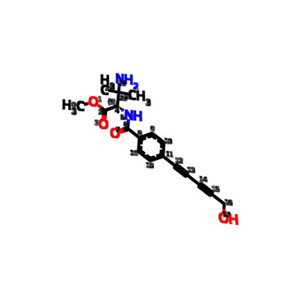 COC(=O)[C@@H](NC(=O)c1ccc(C#CC#CCO)cc1)C(C)(C)N